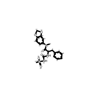 CN(C(=O)C(Cc1ccccc1)NC(=O)NS(C)(=O)=O)c1ccc2c(c1)OCO2